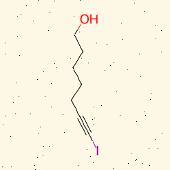 OCCCCCC#CI